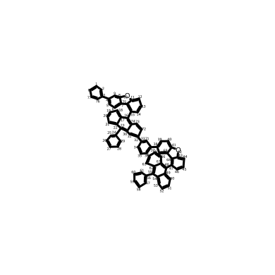 c1ccc(-c2ccc3c(c2)oc2cccc(-c4c5ccccc5c(-c5ccccc5)c5cc(-c6cccc(-c7ccc8oc9cccc(-c%10c%11ccccc%11c(-c%11ccccc%11)c%11ccccc%10%11)c9c8c7)c6)ccc45)c23)cc1